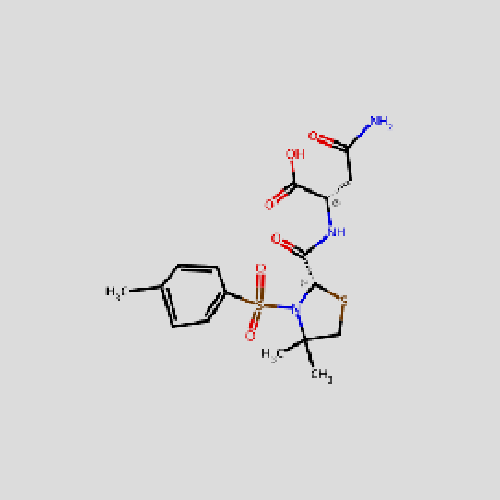 Cc1ccc(S(=O)(=O)N2[C@H](C(=O)N[C@@H](CC(N)=O)C(=O)O)SCC2(C)C)cc1